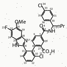 CCCC(NC(=O)c1ccc(-c2c(Cl)cccc2-c2nc3cc(OC)c(F)cc3[nH]2)c(C(=O)O)c1)c1ccc(Cl)cc1